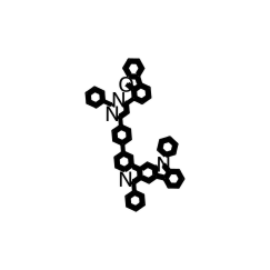 c1ccc(-c2nc(-c3ccc(-c4ccc5nc(-c6ccccc6)c6cc7c8ccccc8n(-c8ccccc8)c7cc6c5c4)cc3)cc(-c3cccc4c3oc3ccccc34)n2)cc1